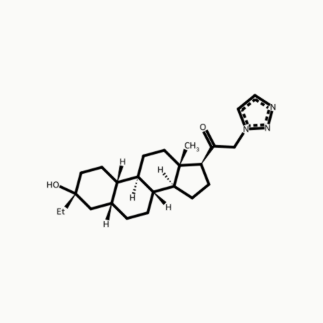 CC[C@@]1(O)CC[C@H]2[C@H](CC[C@@H]3[C@@H]2CC[C@]2(C)[C@@H](C(=O)Cn4ccnn4)CC[C@@H]32)C1